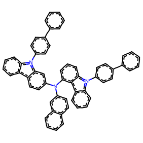 c1ccc(-c2ccc(-n3c4ccccc4c4ccc(N(c5ccc6ccccc6c5)c5cccc6c5c5ccccc5n6-c5ccc(-c6ccccc6)cc5)cc43)cc2)cc1